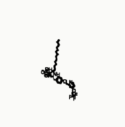 CCCCCCCCCCCCCC(=O)N[C@@H](C=CP(=O)(O)O)Cc1ccc(OCc2cc(OCC(F)(F)F)ccn2)cc1